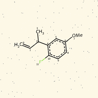 C=C[C](C)c1cc(OC)ccc1F